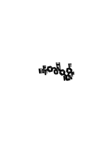 CCC(F)(F)c1ccc(CC(=O)Nc2ccc(-c3nccnc3-c3ccc(F)cc3F)cc2)cc1